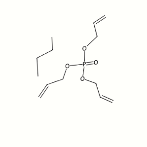 C=CCOP(=O)(OCC=C)OCC=C.CCCC